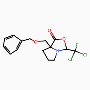 O=C1OC(C(Cl)(Cl)Cl)N2CCCC12COCc1ccccc1